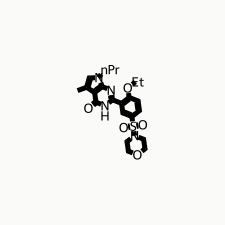 CCCn1cc(C)c2c(=O)[nH]c(-c3cc(S(=O)(=O)N4CCOCC4)ccc3OCC)nc21